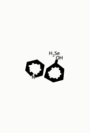 Oc1ccccc1.[SeH2].c1ccncc1